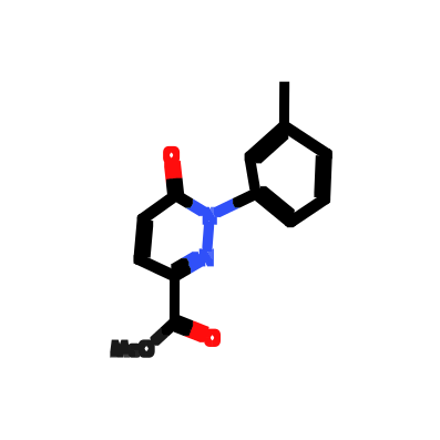 COC(=O)c1ccc(=O)n(-c2cccc(C)c2)n1